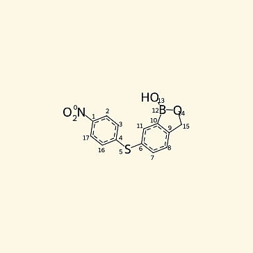 O=[N+]([O-])c1ccc(Sc2ccc3c(c2)B(O)OC3)cc1